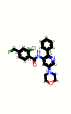 O=C(Nc1cc(N2CCOCC2)cnc1-c1ccccc1)c1ccc(CF)cc1Cl